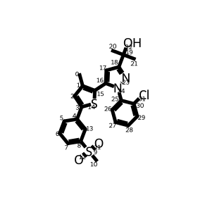 Cc1cc(-c2cccc(S(C)(=O)=O)c2)sc1-c1cc(C(C)(C)O)nn1-c1ccccc1Cl